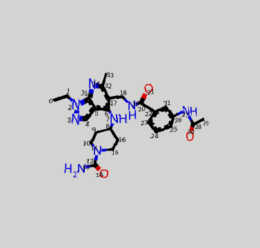 CCn1ncc2c(NC3CCN(C(N)=O)CC3)c(CNC(=O)c3cccc(NC(C)=O)c3)c(C)nc21